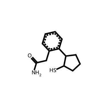 NC(=O)Cc1ccccc1C1CCCC1S